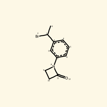 CC(Br)c1cccc(N2CCC2=O)c1